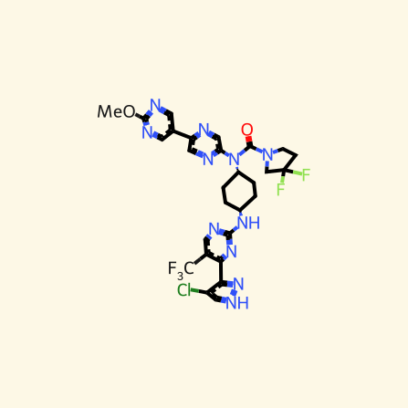 COc1ncc(-c2cnc(N(C(=O)N3CCC(F)(F)C3)[C@H]3CC[C@H](Nc4ncc(C(F)(F)F)c(-c5n[nH]cc5Cl)n4)CC3)cn2)cn1